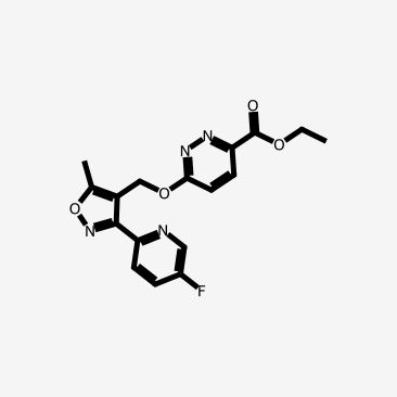 CCOC(=O)c1ccc(OCc2c(-c3ccc(F)cn3)noc2C)nn1